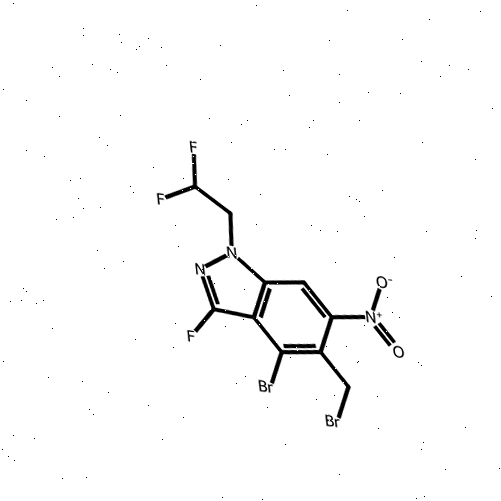 O=[N+]([O-])c1cc2c(c(F)nn2CC(F)F)c(Br)c1CBr